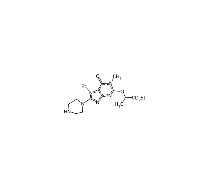 CCOC(=O)C(C)Oc1nc2nc(N3CCNCC3)n(CC)c2c(=O)n1C